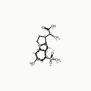 CC(C(=O)O)C1CCn2c1cc1c(S(C)(=O)=O)cc(O)cc12